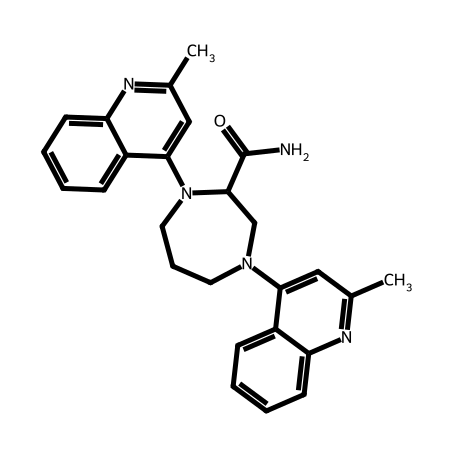 Cc1cc(N2CCCN(c3cc(C)nc4ccccc34)C(C(N)=O)C2)c2ccccc2n1